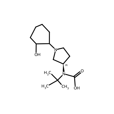 CC(C)(C)N(C(=O)O)[C@@H]1CCN(C2CCCCC2O)C1